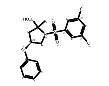 CC1(C(=O)O)C[C@H]([Se]c2ccccc2)CN1S(=O)(=O)c1cc(Cl)cc(Cl)c1